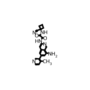 Cc1ccncc1-c1cc(N)c2cnc(NC(=O)C(=O)NC3(C#N)CCC3)cc2c1